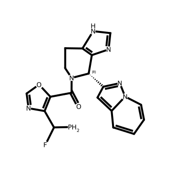 O=C(c1ocnc1C(F)P)N1CCc2[nH]cnc2[C@@H]1c1cc2ccccn2n1